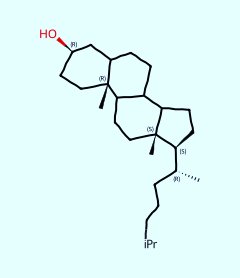 CC(C)CCC[C@@H](C)[C@@H]1CCC2C3CCC4C[C@H](O)CC[C@@]4(C)C3CC[C@]21C